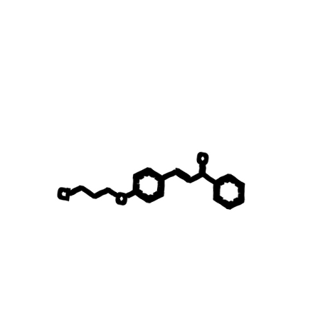 O=C(C=Cc1ccc(OCCCCl)cc1)c1ccccc1